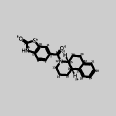 O=C(c1ccc2[nH]c(=O)sc2c1)N1CCC[C@H]2c3ccccc3CC[C@H]21